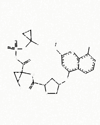 CCOc1cc(OC2CNC(C(=O)NC3(C(=O)NS(=O)(=O)OC4(C)CC4)CC3CC)C2)c2cccc(Cl)c2n1